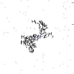 C\C=C/C(=C\C(=C\CC)c1ccc2c(c1)CCN2C)c1cc2c(-c3cc(F)c4c(c3C)CCCO4)c(CC(=O)O)c(C)nc2n1C